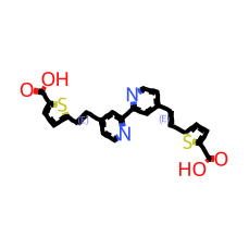 O=C(O)c1ccc(/C=C/c2ccnc(-c3cc(/C=C/c4ccc(C(=O)O)s4)ccn3)c2)s1